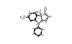 C[N+]12c3cnc(C(F)(F)F)cc3N(c3ccccn3)C1N=NN2Cl